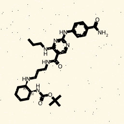 CCCNc1nc(Nc2ccc(C(N)=O)cc2)ncc1C(=O)NCCCN[C@@H]1CCCC[C@@H]1NC(=O)OC(C)(C)C